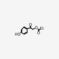 CCC(=O)OCC(=O)c1ccc(O)cc1